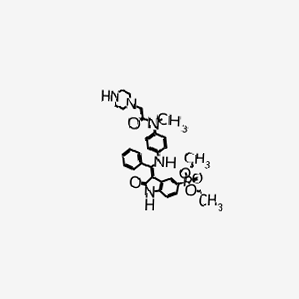 CCOP(=O)(OCC)c1ccc2c(c1)C(=C(Nc1ccc(N(C)C(=O)CN3CCNCC3)cc1)c1ccccc1)C(=O)N2